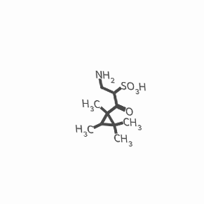 CC1C(C)(C)C1(C)C(=O)C(CN)S(=O)(=O)O